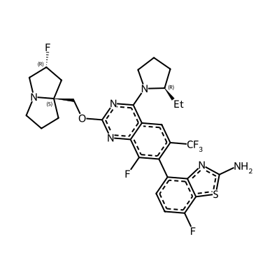 CC[C@@H]1CCCN1c1nc(OC[C@@]23CCCN2C[C@H](F)C3)nc2c(F)c(-c3ccc(F)c4sc(N)nc34)c(C(F)(F)F)cc12